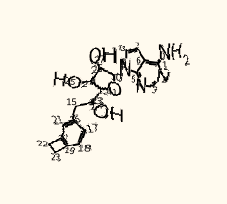 Nc1ncnc2c1ccn2[C@@H]1O[C@@H](C(O)Cc2ccc3c(c2)CC3)[C@@H](O)[C@H]1O